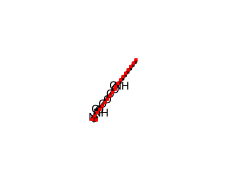 CCCCCCCCCCCCCCCNC(=O)OCCOCCOCCOCCOC(=O)NCc1ccccn1